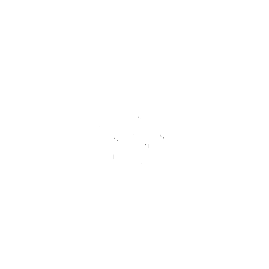 [2H]c1nc(N([2H])[2H])n([2H])n1